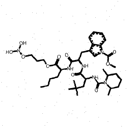 CCCCC(NC(=O)C(Cc1cn(C(=O)OC)c2ccccc12)NC(=O)C(CC(C)(C)C)NC(=O)N1C(C)CCCC1C)C(=O)OCCCON(O)O